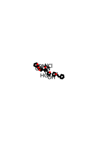 Nc1nc(Cl)nc2c1c(-c1ccn(S(=O)(=O)c3ccccc3)n1)cn2[C@@H]1C[C@H](C2CCN(CCc3ccccc3)CC2)[C@@H](O)[C@H]1O